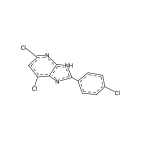 Clc1ccc(-c2nc3c(Cl)cc(Cl)nc3[nH]2)cc1